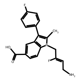 Cc1c(-c2ccc(F)cc2)c2cc(C(=O)O)ccc2n1CC(F)=CCN